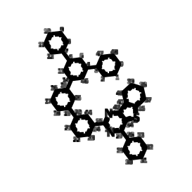 c1ccc(-c2cc(-c3ccccc3)cc(-c3cccc(-c4cccc(-c5nc(-c6ccccc6)c6sc7ccccc7c6n5)c4)c3)c2)cc1